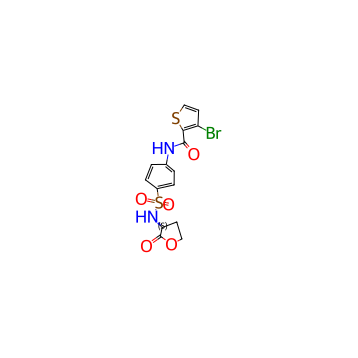 O=C(Nc1ccc(S(=O)(=O)N[C@H]2CCOC2=O)cc1)c1sccc1Br